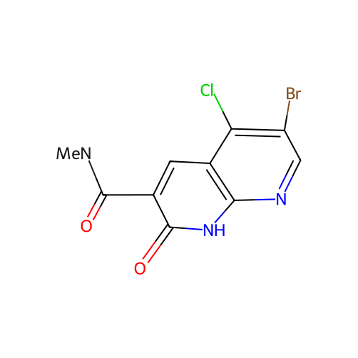 CNC(=O)c1cc2c(Cl)c(Br)cnc2[nH]c1=O